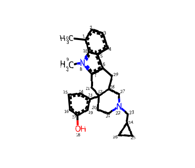 Cc1cccc2c3c(n(C)c12)CC1(c2cccc(O)c2)CCN(CC2CC2)CC1C3